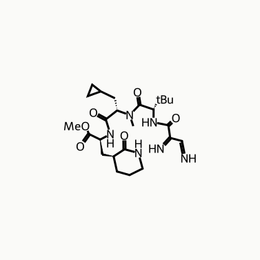 COC(=O)[C@H](C[C@@H]1CCCNC1=O)NC(=O)[C@H](CC1CC1)N(C)C(=O)[C@@H](NC(=O)C(=N)C=N)C(C)(C)C